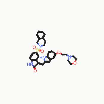 O=C1Nc2ccc(S(=O)(=O)N3CCc4ccccc4C3)cc2/C1=C\c1cc2cc(OCCN3CCOCC3)ccc2[nH]1